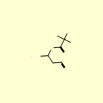 C=CCC(CCCCC)OC(=O)C(F)(F)Cl